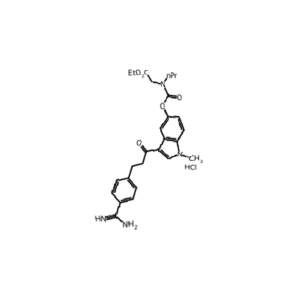 CCCN(CC(=O)OCC)C(=O)Oc1ccc2c(c1)c(C(=O)CCc1ccc(C(=N)N)cc1)cn2C.Cl